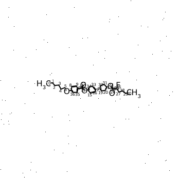 CCCCCCOc1ccc(C(=O)Oc2ccc([C@H]3CC[C@H](OC(=O)[C@@H](F)CCCC)CC3)cc2)cc1